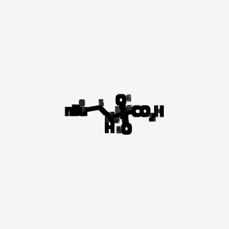 CCCCCNS(=O)(=O)C(=O)O